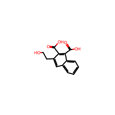 O=C(O)c1c(CCO)cc2ccccc2c1C(=O)O